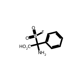 NC(C(=O)O)(c1ccccc1)S(=O)(=O)F